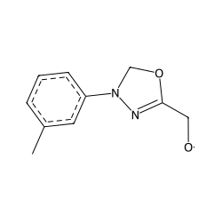 Cc1cccc(N2COC(C[O])=N2)c1